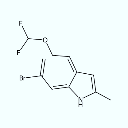 C=C(Br)/C=c1/[nH]c(C)c/c1=C/COC(F)F